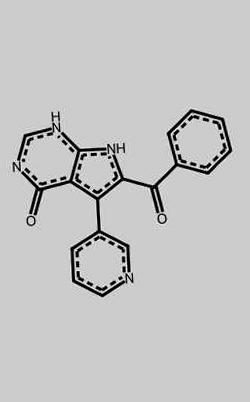 O=C(c1ccccc1)c1[nH]c2[nH]cnc(=O)c2c1-c1cccnc1